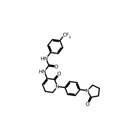 O=C(NC1=CCCN(c2ccc(N3CCCC3=O)cc2)C1=O)Nc1ccc(C(F)(F)F)cc1